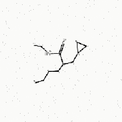 CCCCC(CC1CC1)C(=O)NCC